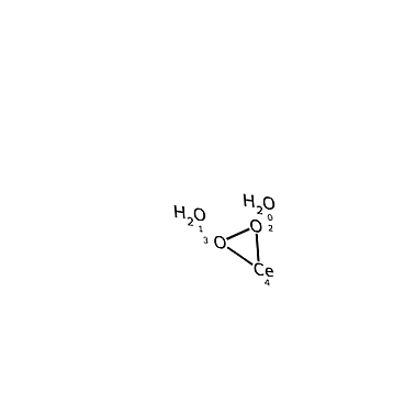 O.O.[O]1[O][Ce]1